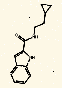 O=C(NCCC1CC1)c1cc2ccccc2[nH]1